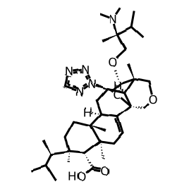 CC(C)[C@@H](C)[C@@]1(C)CC[C@]2(C)[C@H]3CC[C@@H]4[C@@]5(COC[C@@]4(C)[C@@H](OC[C@@](C)(C(C)C)N(C)C)[C@H](n4ncnn4)C5)C3=CC[C@@]2(C)[C@@H]1C(=O)O